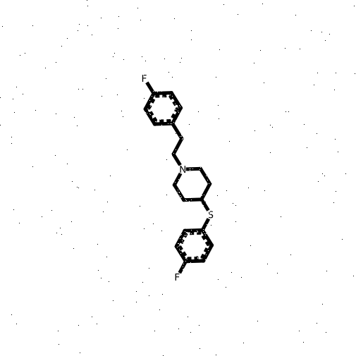 Fc1ccc(CCN2CCC(Sc3ccc(F)cc3)CC2)cc1